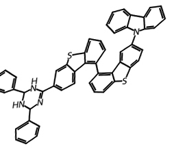 c1ccc(C2N=C(c3ccc4c(c3)sc3cccc(-c5cccc6sc7ccc(-n8c9ccccc9c9ccccc98)cc7c56)c34)NC(c3ccccc3)N2)cc1